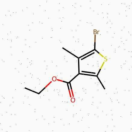 CCOC(=O)c1c(C)sc(Br)c1C